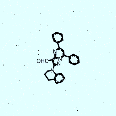 O=Cc1c(N2CCCc3ccccc32)nn2c(-c3ccccc3)cc(-c3ccccc3)nc12